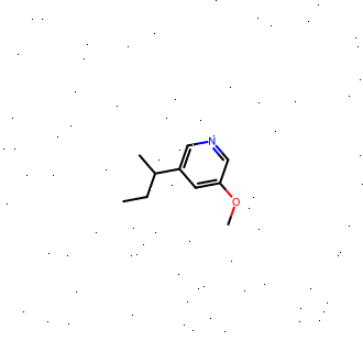 CCC(C)c1cncc(OC)c1